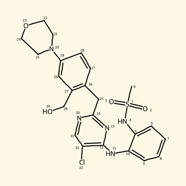 CS(=O)(=O)Nc1ccccc1Nc1nc(Cc2ccc(N3CCOCC3)cc2CO)ncc1Cl